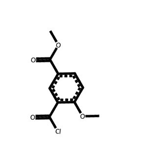 COC(=O)c1ccc(OC)c(C(=O)Cl)c1